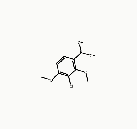 COc1ccc(B(O)O)c(OC)c1Cl